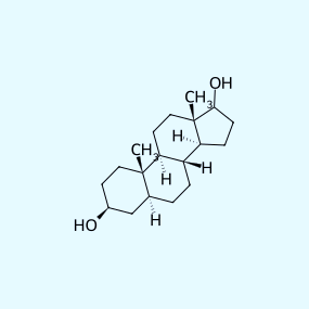 C[C@]12CC[C@H](O)C[C@@H]1CC[C@@H]1[C@@H]2CC[C@]2(C)C(O)CC[C@@H]12